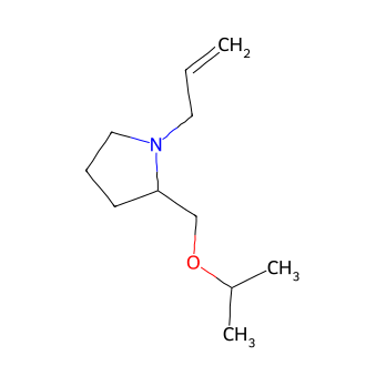 C=CCN1CCCC1COC(C)C